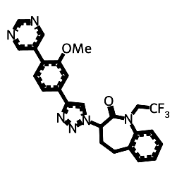 COc1cc(-c2cn(C3CCc4ccccc4N(CC(F)(F)F)C3=O)nn2)ccc1-c1cncnc1